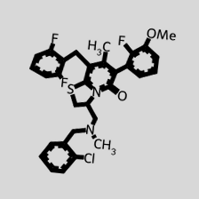 COc1cccc(-c2c(C)c(Cc3c(F)cccc3F)c3n(c2=O)C(CN(C)Cc2ccccc2Cl)CS3)c1F